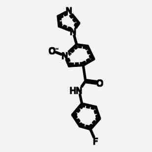 O=C(Nc1ccc(F)cc1)c1ccc(-n2ccnc2)[n+]([O-])c1